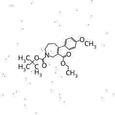 CCOC(=O)C1=C(c2ccc(OC)cc2)CCCN(C(=O)OC(C)(C)C)C1